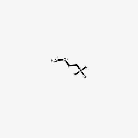 C[Si](C)([O])CCO[SiH3]